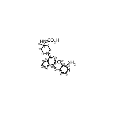 CC1(NC(=O)O)CCN(c2ncc(Sc3ccnc(N)c3Cl)c3nsnc23)CC1